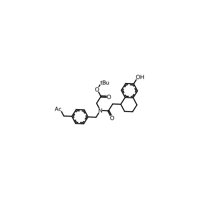 CC(=O)Cc1ccc(CN(CC(=O)OC(C)(C)C)C(=O)CC2CCCc3cc(O)ccc32)cc1